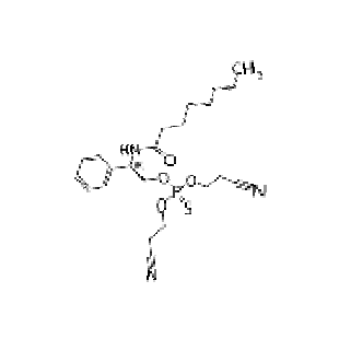 CCCCCCCC(=O)N[C@@H](COP(=S)(OCCC#N)OCCC#N)c1ccccc1